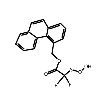 O=C(OCc1cccc2ccc3ccccc3c12)C(F)(F)SOO